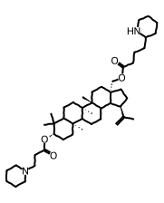 C=C(C)[C@@H]1CC[C@]2(COC(=O)CCCC3CCCCN3)CC[C@]3(C)C(CCC4[C@@]5(C)CC[C@H](OC(=O)CCN6CCCCC6)C(C)(C)C5CC[C@]43C)C12